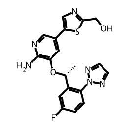 C[C@@H](Oc1cc(-c2cnc(CO)s2)cnc1N)c1cc(F)ccc1-n1nccn1